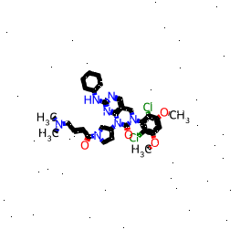 COc1cc(OC)c(Cl)c(N2Cc3cnc(NC4CCCCC4)nc3N(C3CCN(C(=O)/C=C/CN(C)C)C3)C2=O)c1Cl